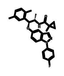 Cc1ccc(C)c([C@H](Oc2ccc3c(cnn3-c3ccc(F)cc3)c2)[C@H](C)NC(=O)C2(C)CC2)c1